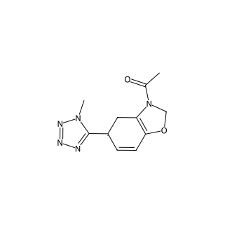 CC(=O)N1COC2=C1C[C](c1nnnn1C)C=C2